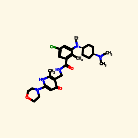 CCN(c1cc(Cl)cc(C(=O)NCc2c(C)[nH]c(N3CCOCC3)cc2=O)c1C)[C@H]1CC[C@H](N(C)C)CC1